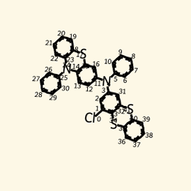 Clc1cc(N(c2ccccc2)c2ccc3c(c2)Sc2ccccc2N3c2ccccc2)cc2c1Sc1ccccc1S2